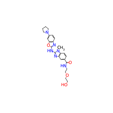 Cn1c(Nc2nc3ccc(N4CCCC4)cc3o2)nc2cc(C(=O)NCCOCCO)ccc21